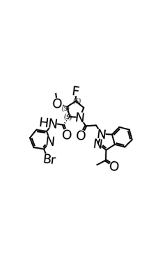 CO[C@H]1[C@@H](C(=O)Nc2cccc(Br)n2)N(C(=O)Cn2nc(C(C)=O)c3ccccc32)C[C@@H]1F